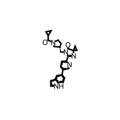 O=C(C1CC1)N1CC[C@@H](CN2C(=O)C3(CC3)N=C2c2ccc(-c3ccc4[nH]ccc4c3)cn2)C1